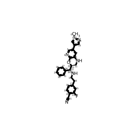 Cn1cc(-c2cnc3c(c2)NC[C@@H]([C@H](NCCc2ccc(C#N)c(F)c2)c2ccccc2)O3)cn1